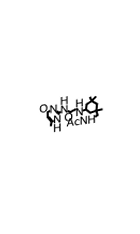 CC(=O)NCC1(C)CC(NCC(=O)Nc2nc(=O)cc(C)[nH]2)CC(C)(C)C1